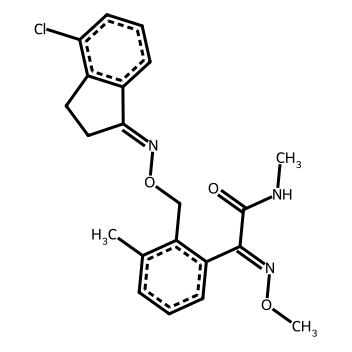 CNC(=O)/C(=N/OC)c1cccc(C)c1CO/N=C1\CCc2c(Cl)cccc21